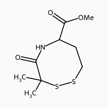 COC(=O)C1CCSSC(C)(C)C(=O)N1